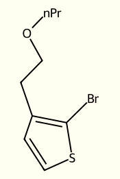 CCCOCCc1ccsc1Br